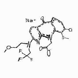 COCCN(CC(F)(F)F)c1ccc2c(=O)c3ccc(Cl)c(SC)c3n(CC(=O)[O-])c2n1.[Na+]